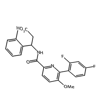 COc1ccc(C(=O)NC(CC(=O)O)c2ccccc2C)nc1-c1ccc(F)cc1F